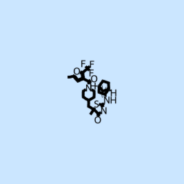 Cc1cc(C(=O)N2CCC(CC3(C)SC(N[C@H]4C[C@H]5CC[C@H]4C5)=NC3=O)CC2)c(C(F)(F)F)o1